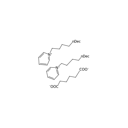 CCCCCCCCCCCCCC[n+]1ccccc1.CCCCCCCCCCCCCC[n+]1ccccc1.O=C([O-])CCCCC(=O)[O-]